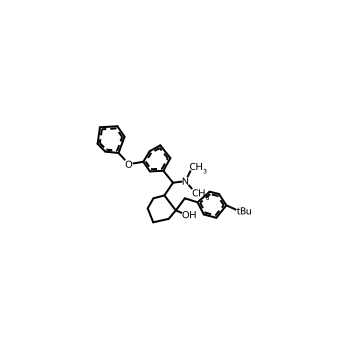 CN(C)C(c1cccc(Oc2ccccc2)c1)C1CCCCC1(O)Cc1ccc(C(C)(C)C)cc1